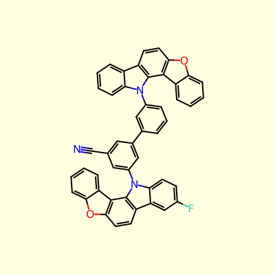 N#Cc1cc(-c2cccc(-n3c4ccccc4c4ccc5oc6ccccc6c5c43)c2)cc(-n2c3ccc(F)cc3c3ccc4oc5ccccc5c4c32)c1